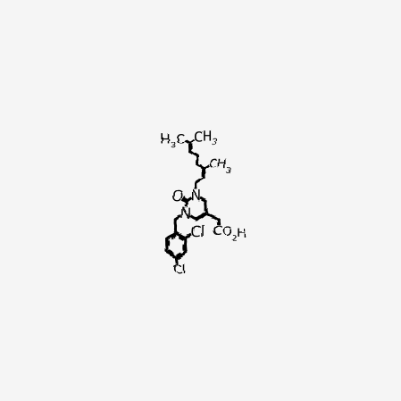 CC(C)=CCCC(C)=CCN1CC(CC(=O)O)CN(Cc2ccc(Cl)cc2Cl)C1=O